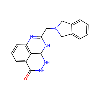 O=C1NNC2NC(CN3Cc4ccccc4C3)=Nc3cccc1c32